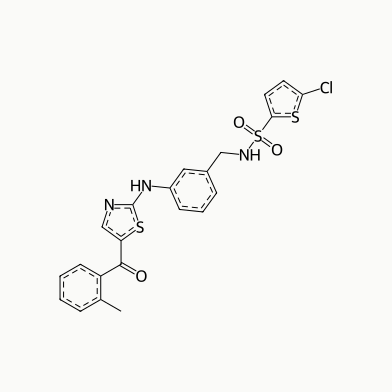 Cc1ccccc1C(=O)c1cnc(Nc2cccc(CNS(=O)(=O)c3ccc(Cl)s3)c2)s1